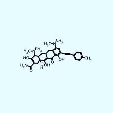 Cc1ccc(C#Cc2cc(N(C)C)c3c(c2O)C(=O)C2=C(O)C4(O)CC(C(N)=O)=C(O)C(N(C)C)C4CC2C3)cc1